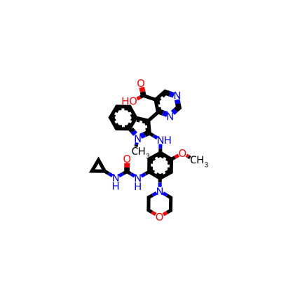 COc1cc(N2CCOCC2)c(NC(=O)NC2CC2)cc1Nc1c(-c2ncncc2C(=O)O)c2ccccc2n1C